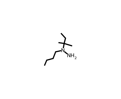 CCCCN(N)C(C)(C)CC